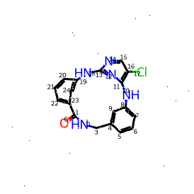 O=C1NCc2cccc(c2)Nc2nc(ncc2Cl)Nc2cccc1c2